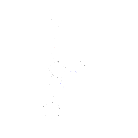 COCCOCc1cc(NC(C)C(F)(F)F)c2[nH]c(-c3ccccc3)cc2c1